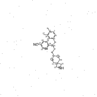 Cc1ccc(CN(CCC2OCC3(CNC3)CO2)c2ccc(C#N)cn2)cc1C